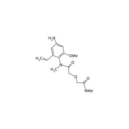 C=Cc1cc(N)cc(OC)c1N(C)C(=O)COCC(=O)NC